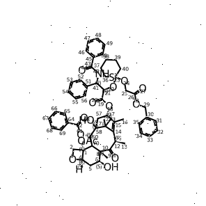 CC(=O)O[C@@]12CO[C@@H]1C[C@H](O)[C@@]1(C)C(=O)[C@H](C)C3=C(C)[C@@H](OC(=O)[C@H](O[Si]4(OCC(=O)OCc5ccccc5)CCCCC4)[C@H](NC(=O)c4ccccc4)c4ccccc4)C[C@@](O)([C@@H](OC(=O)c4ccccc4)C12)C3(C)C